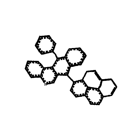 C1=Cc2ccc3ccc(-c4c5ccccc5c(-c5ccccc5)c5c4cnc4ccccc45)c4c3c2C(=CC4)C1